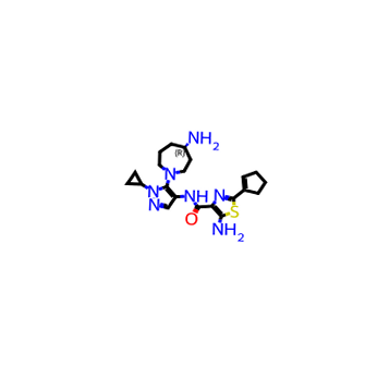 Nc1sc(C2=CCCC2)nc1C(=O)Nc1cnn(C2CC2)c1N1CCC[C@@H](N)CC1